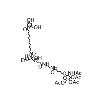 CCOCC(CO)(COCCC(=O)NCCCNC(=O)CCCCOC1OC(COC(C)=O)C(OC(C)=O)C(OC(C)=O)C1NC(C)=O)NC(=O)CCCCCCCCCCC(=O)N1C[C@H](O)C[C@H]1CO